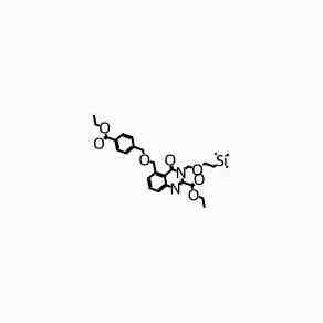 CCOC(=O)c1ccc(COCc2cccc3nc(C(=O)OCC)n(COCC[Si](C)(C)C)c(=O)c23)cc1